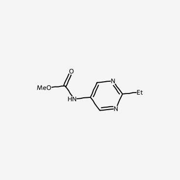 CCc1ncc(NC(=O)OC)cn1